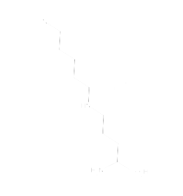 Cl.Cl.Cl.NCCCCCNCCCC(N)C(=O)O